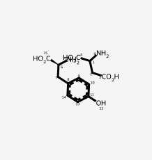 NC(CC(=O)O)C(=O)O.N[C@@H](Cc1ccc(O)cc1)C(=O)O